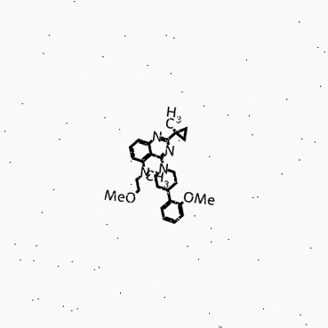 COCCN(C)c1cccc2nc(C3(C)CC3)nc(N3CCC(c4ccccc4OC)CC3)c12